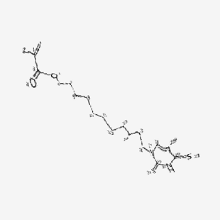 C=C(C)C(=O)OCCCCCCCCCCCn1ccc(=S)[nH]c1=S